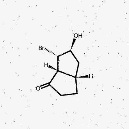 O=C1CC[C@H]2C[C@H](O)[C@@H](Br)[C@@H]12